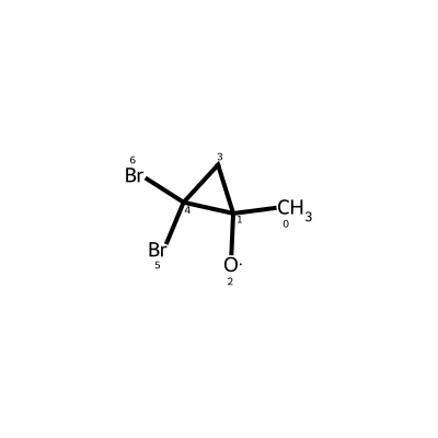 CC1([O])CC1(Br)Br